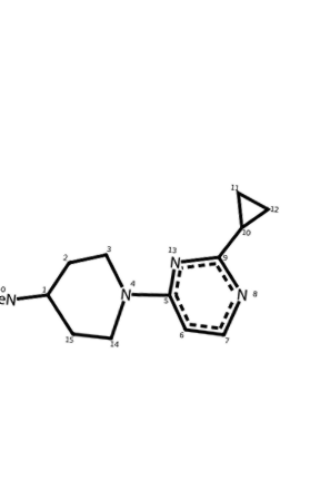 CNC1CCN(c2ccnc(C3CC3)n2)CC1